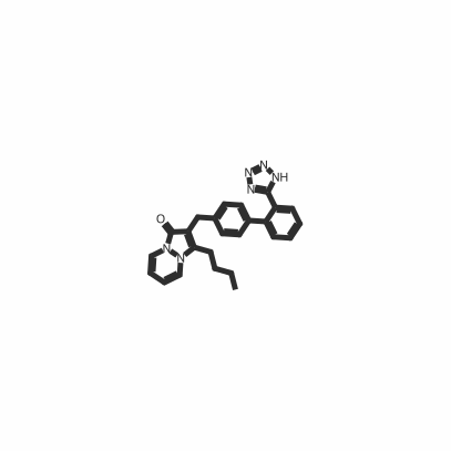 CCCCc1c(Cc2ccc(-c3ccccc3-c3nnn[nH]3)cc2)c(=O)n2ccccn12